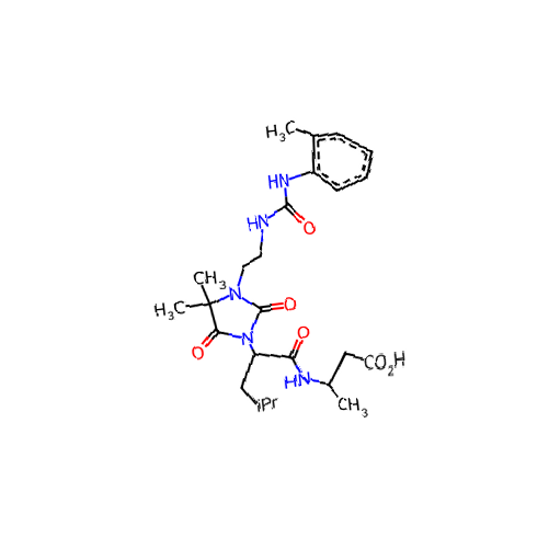 Cc1ccccc1NC(=O)NCCN1C(=O)N(C(CC(C)C)C(=O)NC(C)CC(=O)O)C(=O)C1(C)C